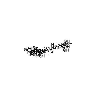 C[C@]12C=CC(=O)C=C1CC[C@H]1[C@@H]3C[C@@H](O)[C@](O)(C(=O)COC(=O)NCC(=O)NCCCCC(CON(O)O)ON(O)O)[C@@]3(C)C[C@H](O)[C@@]12F